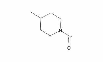 CC1CCN([C]=O)CC1